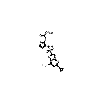 COC(=O)Oc1sccc1NS(=O)(=O)c1nc2nc(C3CC3)cc(C)n2n1